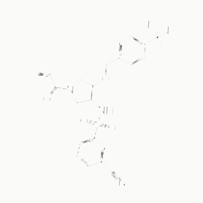 C=CC(=O)N1CC(NS(=O)(=O)c2cccc(C#N)c2)C(OCc2ccc(C(F)(F)F)cc2)C1